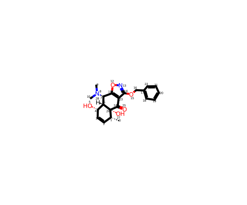 C[C@@H]1C=C[C@H](O)[C@H]2[C@H](N(C)C)c3onc(OCc4ccccc4)c3C(=O)[C@]21O